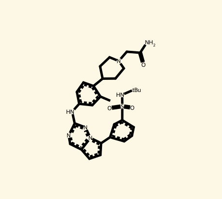 Cc1cc(Nc2ncc3ccc(-c4cccc(S(=O)(=O)NC(C)(C)C)c4)n3n2)ccc1C1CCN(CC(N)=O)CC1